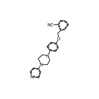 N#Cc1ccccc1COc1ccc(N2CCN(c3ccncc3)CC2)cc1